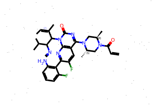 C=CC(=O)N1C[C@H](C)N(c2nc(=O)n(C(/C(C)=C\C)C(N=C)C(C)C)c3nc(-c4c(N)cccc4F)c(F)cc23)C[C@H]1C